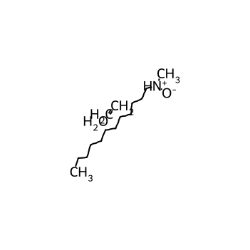 C=C.CCCCCCCCCCCC[NH+](C)[O-].O